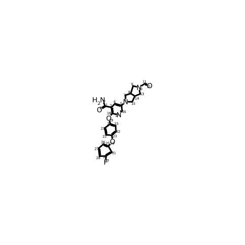 NC(=O)c1cc(N2CC3CN(C=O)CC3C2)cnc1Oc1ccc(Oc2cccc(F)c2)cc1